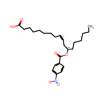 CCCCCC[C@H](C/C=C\CCCCCCCC(=O)O)OC(=O)c1ccc([N+](=O)[O-])cc1